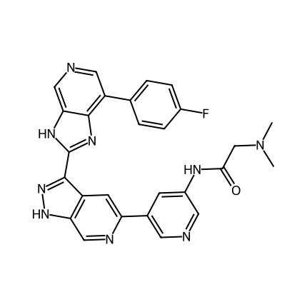 CN(C)CC(=O)Nc1cncc(-c2cc3c(-c4nc5c(-c6ccc(F)cc6)cncc5[nH]4)n[nH]c3cn2)c1